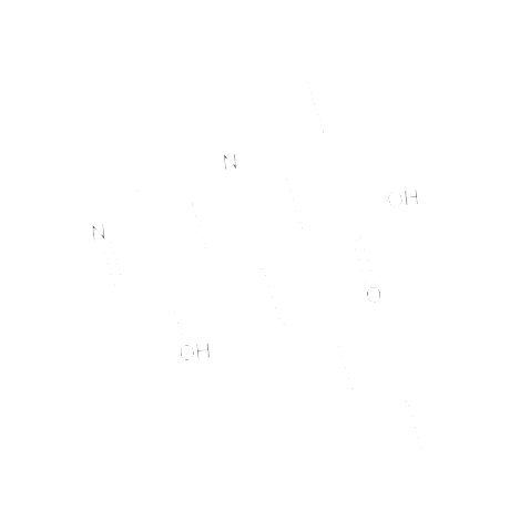 C=CCc1nc2cncc(O)c2c(CCCCC)c1C(=O)O